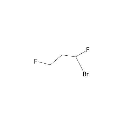 FCCC(F)Br